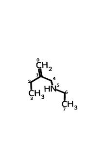 C=C(CC)CNCC